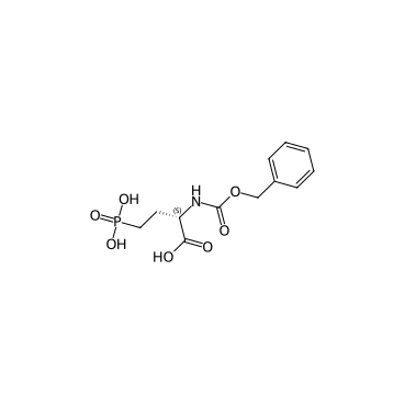 O=C(N[C@@H](CCP(=O)(O)O)C(=O)O)OCc1ccccc1